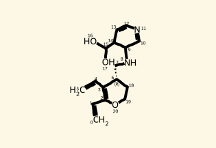 C=CC1=C(C=C)[C@H](CNC2C=NC=CC2C(O)O)CCO1